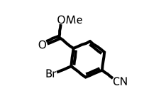 COC(=O)c1ccc(C#N)cc1Br